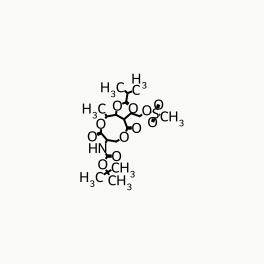 CC(C)C(=O)OC1C(C)OC(=O)C(NC(=O)OC(C)(C)C)COC(=O)C1CCOS(C)(=O)=O